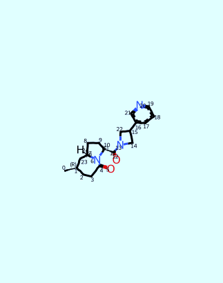 C[C@@H]1CCC(=O)N2[C@H](CC[C@H]2C(=O)N2CC(c3cccnc3)C2)C1